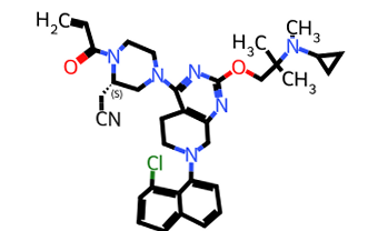 C=CC(=O)N1CCN(c2nc(OCC(C)(C)N(C)C3CC3)nc3c2CCN(c2cccc4cccc(Cl)c24)C3)C[C@@H]1CC#N